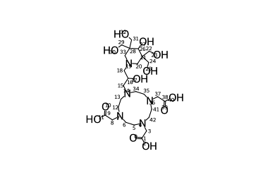 O=C(O)CN1CCN(CC(=O)O)CCN(CC(O)CN2CC(CO)(CO)C(O)C(CO)(CO)C2)CCN(CC(=O)O)CC1